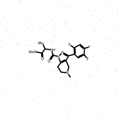 CNC(=O)C(NC(=O)n1nc(-c2cc(F)c(F)cc2F)c2c1CCN(C)C2)C(C)(C)C